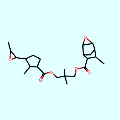 CC1OC1C1CCC(C(=O)OCC(C)(C)COC(=O)C2C(C)C3CC2C2OC32)C1C